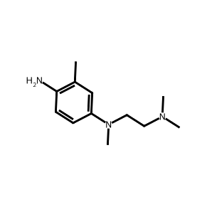 Cc1cc(N(C)CCN(C)C)ccc1N